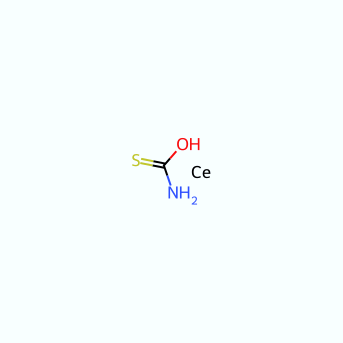 NC(O)=S.[Ce]